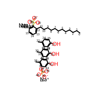 CCCCCCCCCCCCc1ccccc1S(=O)(=O)[O-].Cc1ccc(O)cc1.Cc1ccc(O)cc1.Cc1ccc(O)cc1.O=P([O-])([O-])[O-].[Na+].[Na+].[Na+].[Na+]